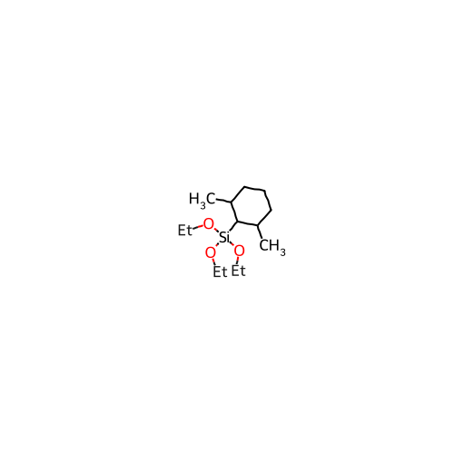 CCO[Si](OCC)(OCC)C1C(C)CCCC1C